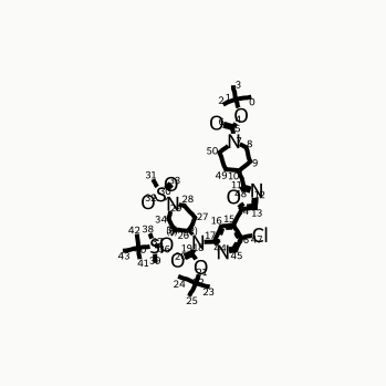 CC(C)(C)OC(=O)N1CCC(c2ncc(-c3cc(N(C(=O)OC(C)(C)C)[C@@H]4CCN(S(C)(=O)=O)C[C@H]4O[Si](C)(C)C(C)(C)C)ncc3Cl)o2)CC1